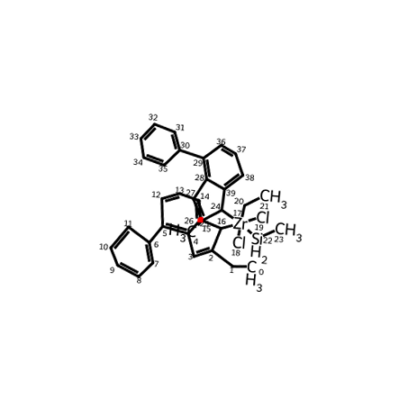 CCC1=Cc2c(-c3ccccc3)cccc2[CH]1[Zr]([Cl])([Cl])([CH2]C)([SiH2]C)[CH]1C(C)=Cc2c(-c3ccccc3)cccc21